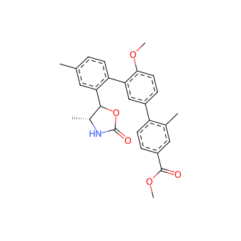 COC(=O)c1ccc(-c2ccc(OC)c(-c3ccc(C)cc3C3OC(=O)N[C@@H]3C)c2)c(C)c1